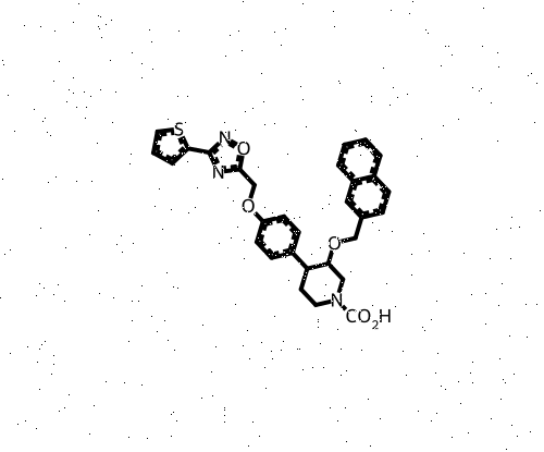 O=C(O)N1CCC(c2ccc(OCc3nc(-c4cccs4)no3)cc2)C(OCc2ccc3ccccc3c2)C1